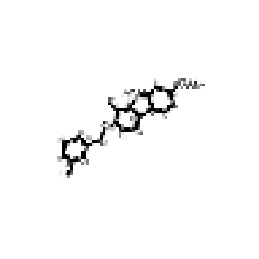 COc1ccc2c(c1)[nH]c1c(C)c(OCc3cccc(F)c3)ccc12